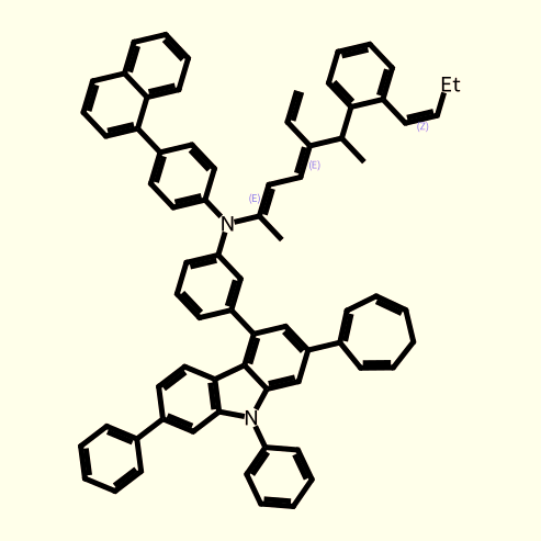 C=C/C(=C\C=C(/C)N(c1ccc(-c2cccc3ccccc23)cc1)c1cccc(-c2cc(C3=CC=CCC=C3)cc3c2c2ccc(-c4ccccc4)cc2n3-c2ccccc2)c1)C(C)c1ccccc1/C=C\CC